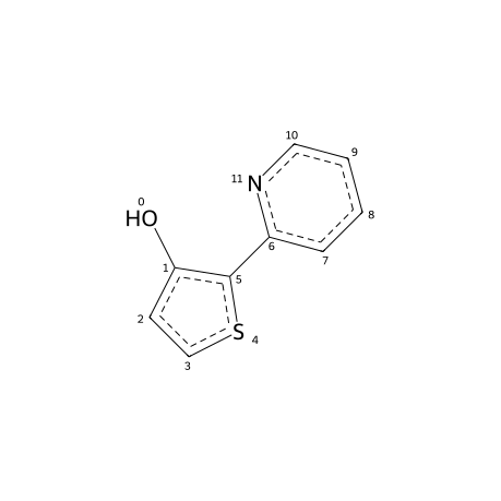 Oc1ccsc1-c1ccccn1